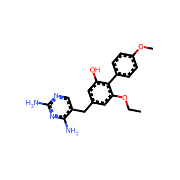 CCOc1cc(Cc2cnc(N)nc2N)cc(O)c1-c1ccc(OC)cc1